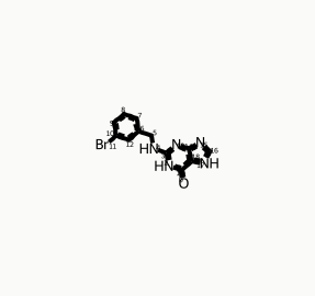 O=c1[nH]c(NCc2cccc(Br)c2)nc2nc[nH]c12